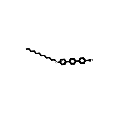 CCCCCCCCCCCCOc1ccc(-c2ccc(-c3ccc(C#N)cc3)cc2)cc1